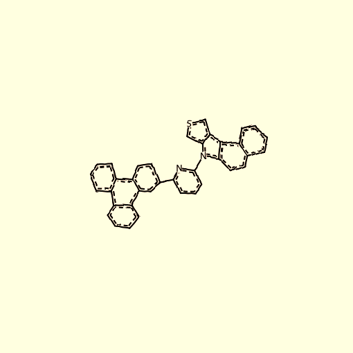 c1cc(-c2ccc3c4ccccc4c4ccccc4c3c2)nc(-n2c3cscc3c3c4ccccc4ccc32)c1